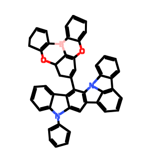 C1=CC2=C(CC1)OC1CC(c3c4c5ccccc5n(-c5ccccc5)c4cc4c5cccc6c7ccccc7n(c34)c65)=CC3=C1B2c1ccccc1O3